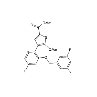 COC(=O)c1cc(-c2ncc(F)cc2OCc2cc(F)cc(F)c2)c(OC)s1